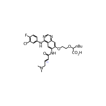 CCCCC(OCCOc1cc2ncnc(Nc3ccc(F)c(Cl)c3)c2cc1NC(=O)/C=C/CN(C)C)C(=O)O